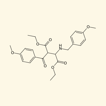 CCOC(=O)C(NCc1ccc(OC)cc1)C(C(=O)OCC)C(=O)c1ccc(OC)cc1